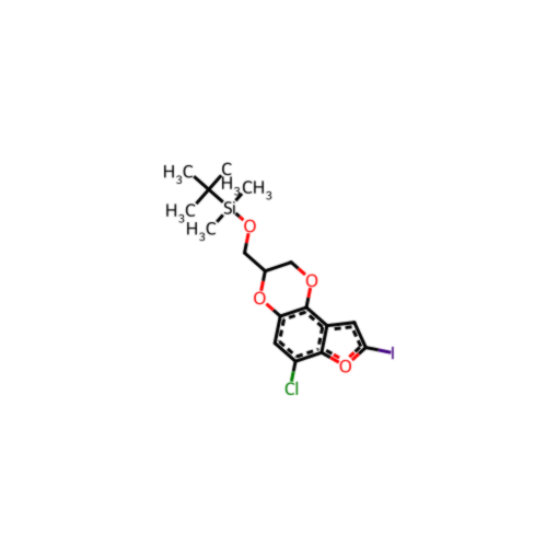 CC(C)(C)[Si](C)(C)OCC1COc2c(cc(Cl)c3oc(I)cc23)O1